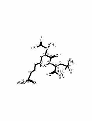 CCCC(=O)N(C)[C@H](CSCCCC(=O)OC)C(=O)N(C)[C@@H](CC(C)(C)O)C(N)=O